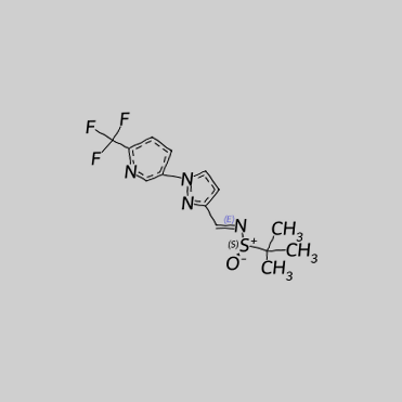 CC(C)(C)[S@@+]([O-])/N=C/c1ccn(-c2ccc(C(F)(F)F)nc2)n1